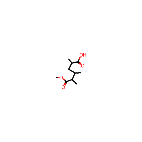 COC(=O)C(C)C(C)CC(C)C(=O)O